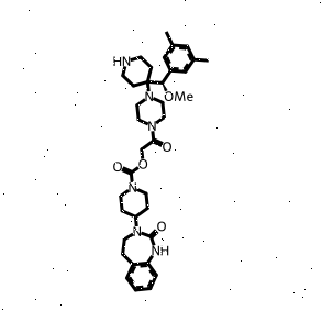 CO[C@H](c1cc(C)cc(C)c1)C1(N2CCN(C(=O)COC(=O)N3CCC(N4CCc5ccccc5NC4=O)CC3)CC2)CCNCC1